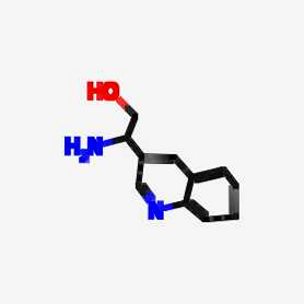 NC(CO)c1cnc2ccccc2c1